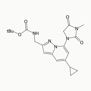 CN1C(=O)CN(c2cc(C3CC3)cc3cc(CNC(=O)OC(C)(C)C)nn23)C1=O